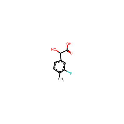 Cc1ccc(C(O)C(=O)O)cc1F